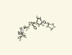 Cc1cc(OC2CCCC2)ccc1NC(=O)CCCCNS(=O)(=O)C(C)(C)C